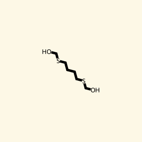 OCSCCCCSCO